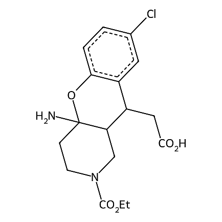 CCOC(=O)N1CCC2(N)Oc3ccc(Cl)cc3C(CC(=O)O)C2C1